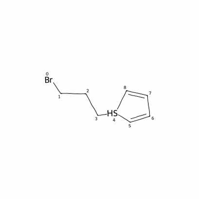 BrCCC[SH]1C=CC=C1